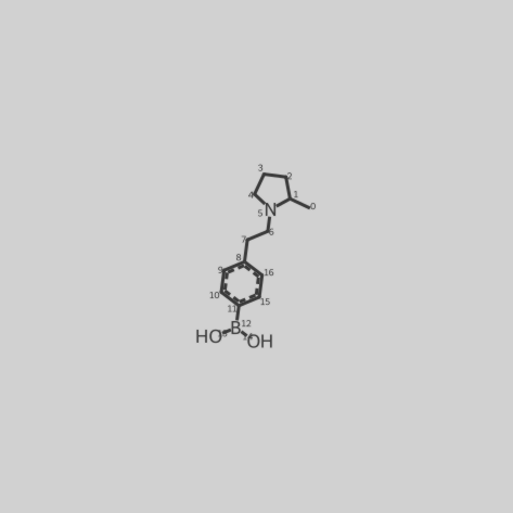 CC1CCCN1CCc1ccc(B(O)O)cc1